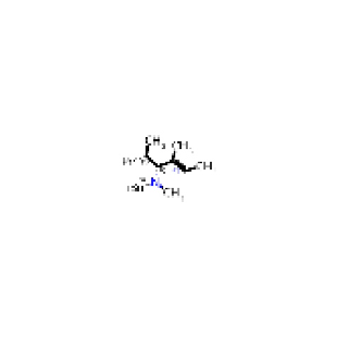 C/C=C(\C)[C@@H]([C@@H](C)C(C)C)N(C)[C@@H](C)CC